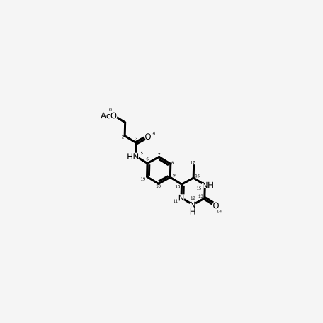 CC(=O)OCCC(=O)Nc1ccc(C2=NNC(=O)NC2C)cc1